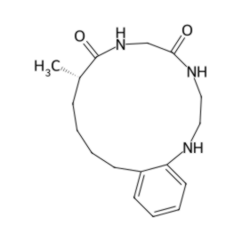 C[C@H]1CCCCc2ccccc2NCCNC(=O)CNC1=O